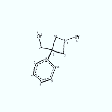 CC(C)N1CC(CO)(c2ccccc2)C1